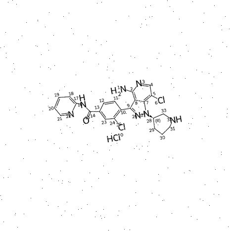 Cl.Nc1ncc(Cl)c2c1c(-c1ccc(C(=O)Nc3ccccn3)cc1Cl)nn2[C@@H]1CCCNC1